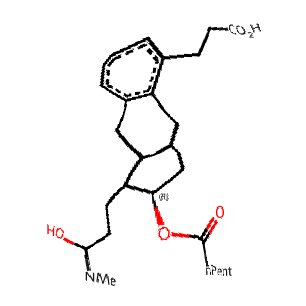 CCCCCC(=O)O[C@@H]1CC2Cc3c(CCC(=O)O)cccc3CC2C1CCC(O)NC